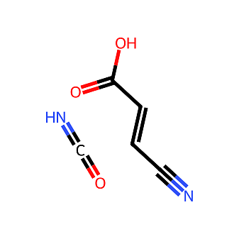 N#CC=CC(=O)O.N=C=O